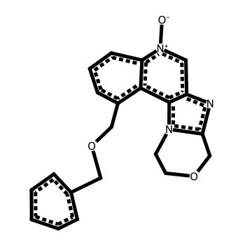 [O-][n+]1cc2nc3n(c2c2c(COCc4ccccc4)cccc21)CCOC3